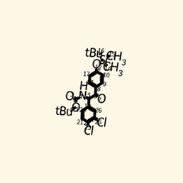 CC(C)(C)OC(=O)NC(C(=O)c1ccc(O[Si](C)(C)C(C)(C)C)cc1)c1ccc(Cl)c(Cl)c1